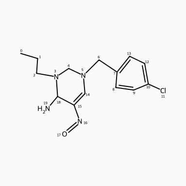 CCCN1CN(Cc2ccc(Cl)cc2)C=C(N=O)C1N